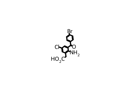 Nc1c(CC(=O)O)cc(Cl)cc1C(=O)c1ccc(Br)cc1